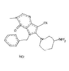 Cl.Cn1cnc2c(C#N)c(N3CCCC(N)C3)n(Cc3ccccc3)c2c1=O